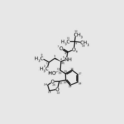 CC(C)C[C@@H](NC(=O)OC(C)(C)C)[C@@H](O)c1ccccc1C1OCCO1